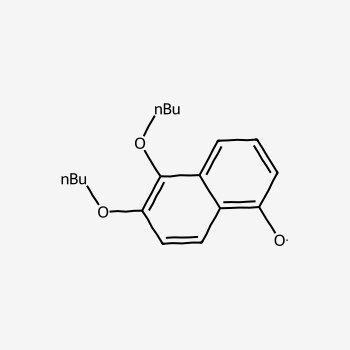 CCCCOc1ccc2c([O])cccc2c1OCCCC